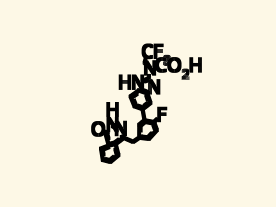 O=C(O)N(CC(F)(F)F)c1nc2cc(-c3cc(Cc4n[nH]c(=O)c5ccccc45)ccc3F)ccc2[nH]1